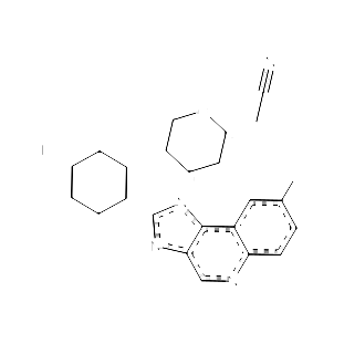 N#CC[C@@H]1C[C@H](n2c3c(cnc4ccc(F)cc43)nc2[C@H]2CC[C@@H](F)CC2)CCO1